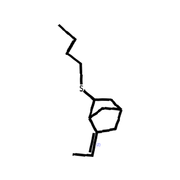 C/C=C1/CC2CC(SCCCC)C1C2